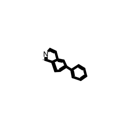 [c]1nccc2cc(-c3ccccc3)ccc12